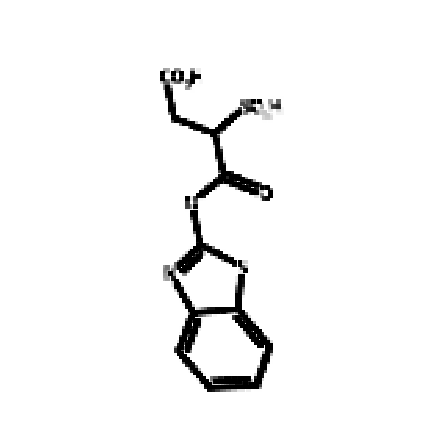 O=C(O)CC(C(=O)Oc1nc2ccccc2s1)S(=O)(=O)O